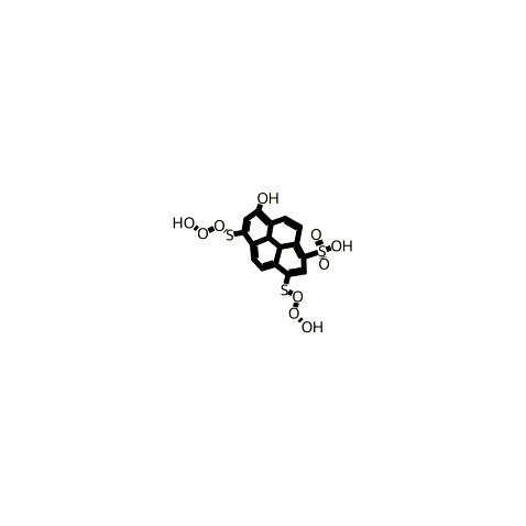 O=S(=O)(O)C1=C2C=CC3=C(O)C=C(SOOO)C4=CC=C(C(SOOO)=C1)C2C43